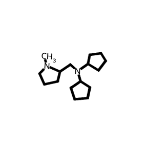 CN1CCCC1CN(C1CCCC1)C1CCCC1